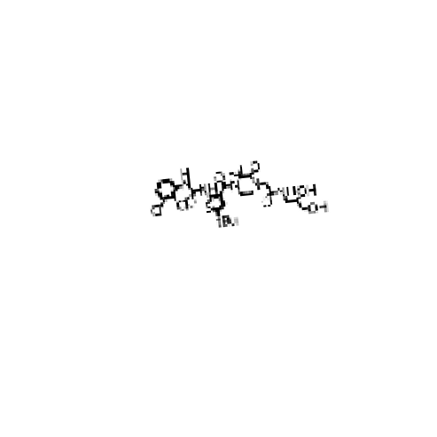 CC(C)(C)c1cc(C(=O)N2CCN(CC(=O)NCC(O)CO)C(=O)C2(C)C)c(NC(=O)Nc2cccc(Cl)c2Cl)s1